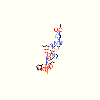 CC[C@H](C)[C@@H]([C@@H](CC(=O)N1CCC[C@H]1[C@H](OC)[C@@H](C)C(=O)N[C@@H](Cc1ccccc1)[PH](=O)O)OC)N(C)C(=O)[C@@H](/N=C(\N(C)C)N1CCN(C(=O)OC(C)(C)C)CC1)C(C)C